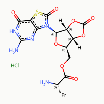 CC(C)[C@H](N)C(=O)OC[C@H]1O[C@@H](n2c(=O)sc3c(=O)[nH]c(N)nc32)[C@@H]2OC(=O)O[C@@H]21.Cl